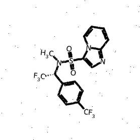 CN([C@H](c1ccc(C(F)(F)F)cc1)C(F)(F)F)S(=O)(=O)c1cnc2ccccn12